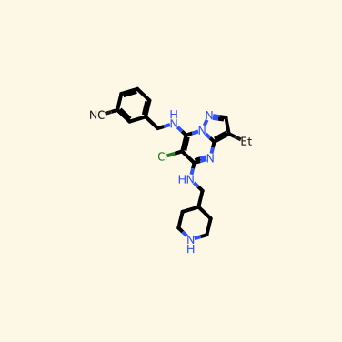 CCc1cnn2c(NCc3cccc(C#N)c3)c(Cl)c(NCC3CCNCC3)nc12